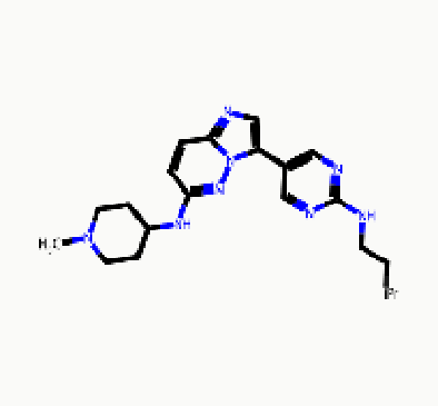 CC(C)CCNc1ncc(-c2cnc3ccc(NC4CCN(C)CC4)nn23)cn1